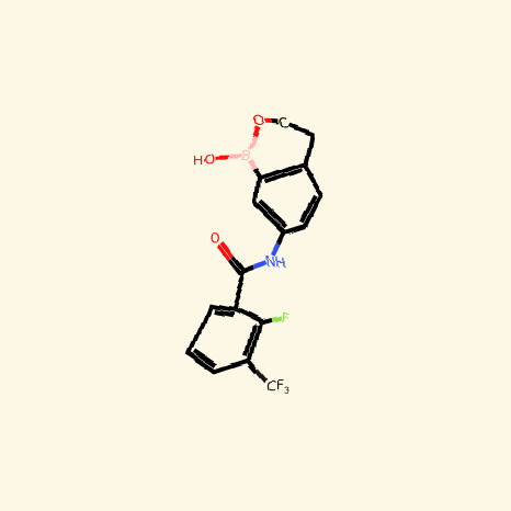 O=C(Nc1ccc2c(c1)B(O)OCC2)c1cccc(C(F)(F)F)c1F